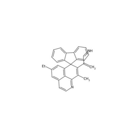 C=C(C=N)C1=C(C)c2nccc3cc(CC)cc(c23)C12c1ccccc1-c1ccccc12